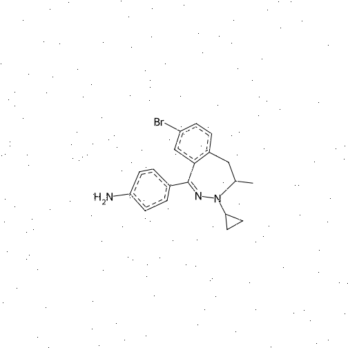 CC1Cc2ccc(Br)cc2C(c2ccc(N)cc2)=NN1C1CC1